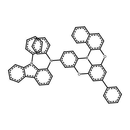 c1ccc(-c2cc3c4c(c2)Oc2ccc5ccccc5c2B4c2ccc(N(c4ccccc4)c4cccc5c6ccccc6n(-c6ccccc6)c45)cc2O3)cc1